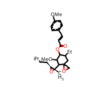 CCC1CC2(CO2)C([C@]2(C)O[C@H]2CCC(C)C)C(OC)C1OC(=O)C=Cc1ccc(OC)cc1